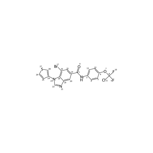 O=C(Nc1ccc(OC(F)(F)Cl)cc1)c1cc(Br)c2c(c1)ncn2-c1ccsc1